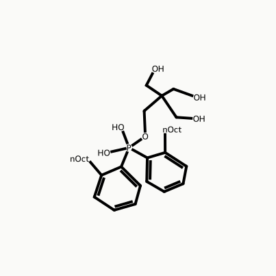 CCCCCCCCc1ccccc1P(O)(O)(OCC(CO)(CO)CO)c1ccccc1CCCCCCCC